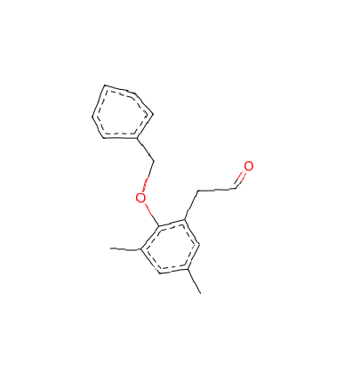 Cc1cc(C)c(OCc2ccccc2)c(CC=O)c1